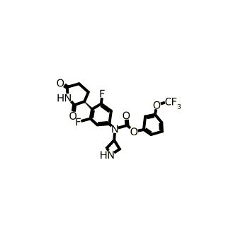 O=C1CC[C@@H](c2c(F)cc(N(C(=O)Oc3cccc(OC(F)(F)F)c3)C3CNC3)cc2F)C(=O)N1